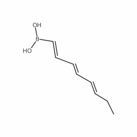 CCC=CC=CC=CB(O)O